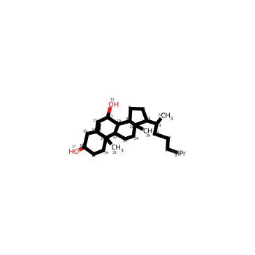 CC(C)CCCC(C)C1CCC2C3C(O)C=C4CC(O)CCC4(C)C3CCC12C